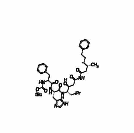 CC(C)C[C@H](NC(=O)[C@H](Cc1c[nH]cn1)NC(=O)[C@H](Cc1ccccc1)NC(=O)OC(C)(C)C)[C@@H](O)CC(=O)NC(=O)C[C@@H](C)[CH]CCc1ccccc1